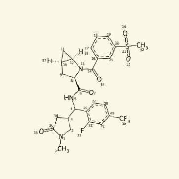 CN1CC(C(NC(=O)[C@H]2C[C@H]3C[C@H]3N2C(=O)c2cccc(S(C)(=O)=O)c2)c2ccc(C(F)(F)F)cc2F)CC1=O